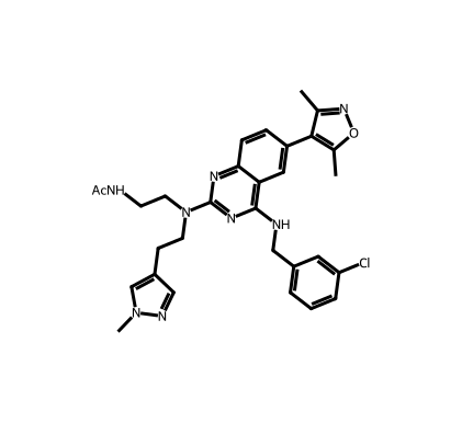 CC(=O)NCCN(CCc1cnn(C)c1)c1nc(NCc2cccc(Cl)c2)c2cc(-c3c(C)noc3C)ccc2n1